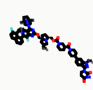 C#Cc1c(F)ccc2cccc(-c3ncc4c(N5C[C@H]6CC[C@@H](C5)N6)nc(OC[C@]56CC[C@H](COC(=O)N7CCCC(C(=O)N8CCC(c9ccc%10c(N%11CCC(=O)NC%11=O)nn(C)c%10c9)CC8)C7)N5CC(=C)C6)nc4c3F)c12